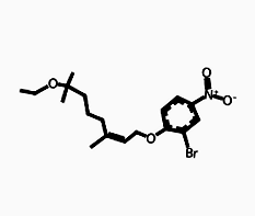 CCOC(C)(C)CCCC(C)=CCOc1ccc([N+](=O)[O-])cc1Br